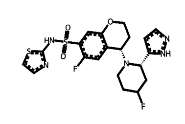 O=S(=O)(Nc1nccs1)c1cc2c(cc1F)[C@@H](N1CCC(F)C[C@H]1c1ccn[nH]1)CCO2